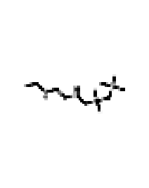 CCNCCNCC(C)(C)C[Si](C)(C)C